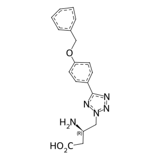 N[C@H](CC(=O)O)Cn1nnc(-c2ccc(OCc3ccccc3)cc2)n1